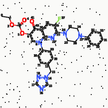 CCOC(=O)Oc1cn(-c2ccc(Cn3cncn3)cc2)c2nc(N3CCN(c4ccccc4)CC3)c(F)cc2c1=O